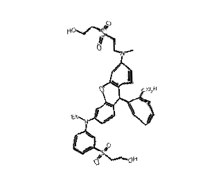 CCN(c1cccc(S(=O)(=O)CCO)c1)c1ccc2c(c1)Oc1cc(N(C)CCS(=O)(=O)CCO)ccc1C2c1ccccc1C(=O)O